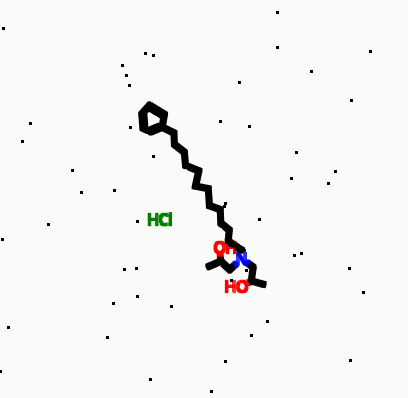 CC(O)CN(CCCCCCCCCCCCCc1ccccc1)CC(C)O.Cl